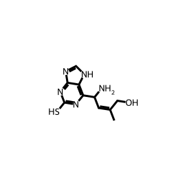 CC(=CC(N)c1nc(S)nc2nc[nH]c12)CO